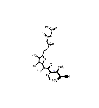 CN/C(C(=O)N(N)C1OC(CO[PH](=O)O[PH](=O)O[PH](=O)O)C(O)C1O)=C(/N)C(=N)C#N